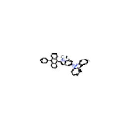 Cn1c(-c2c3ccccc3c(-c3ccccc3)c3ccccc23)cc2cc(-n3c4ccccc4c4ccccc43)ccc21